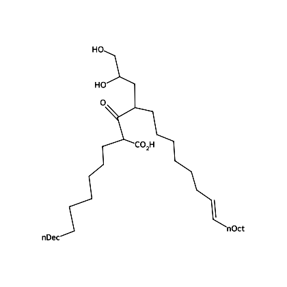 CCCCCCCCC=CCCCCCCC(CC(O)CO)C(=O)C(CCCCCCCCCCCCCCCC)C(=O)O